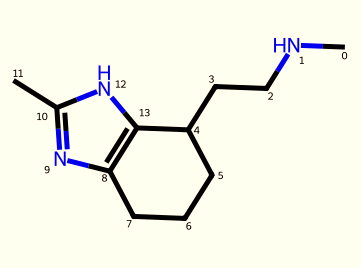 CNCCC1CCCc2nc(C)[nH]c21